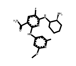 COc1cc(Nc2nc(NC3CCCC[C@@H]3N)c(F)cc2C(N)=O)cc(C)n1